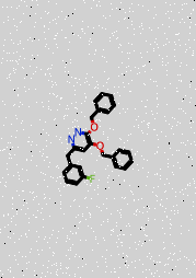 Fc1cccc(Cc2cc(OCc3ccccc3)c(OCc3ccccc3)nn2)c1